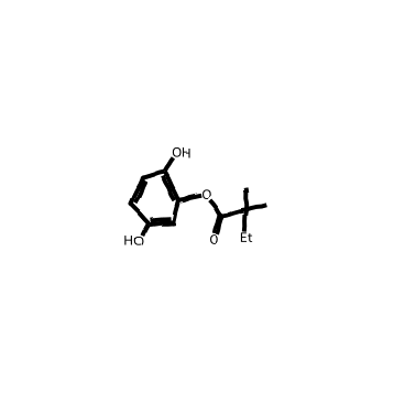 CCC(C)(C)C(=O)Oc1cc(O)ccc1O